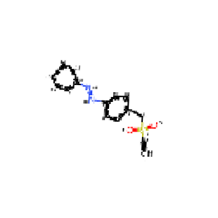 C#CS(=O)(=O)Cc1ccc(N=Nc2ccccc2)cc1